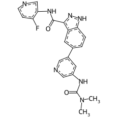 CN(C)C(=O)Nc1cncc(-c2ccc3[nH]nc(C(=O)Nc4cnccc4F)c3c2)c1